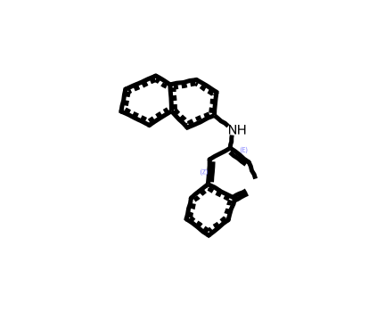 C=c1cccc/c1=C/C(=C\C)Nc1ccc2ccccc2c1